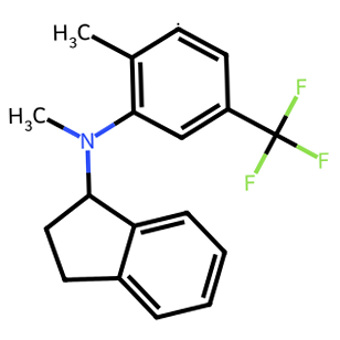 Cc1[c]cc(C(F)(F)F)cc1N(C)C1CCc2ccccc21